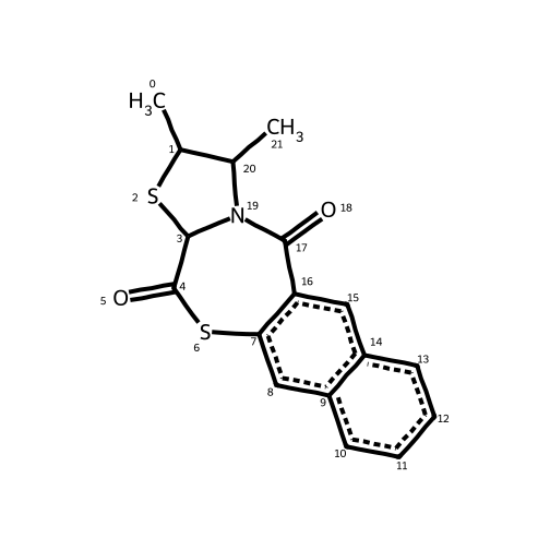 CC1SC2C(=O)Sc3cc4ccccc4cc3C(=O)N2C1C